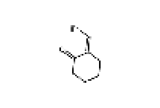 CC(C)/C=C1/CCCCC1=O